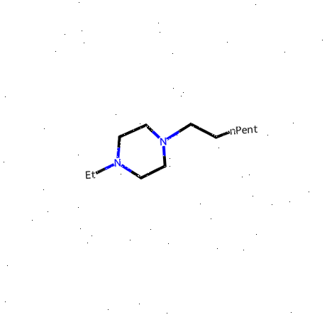 CCCCCCCN1CCN(CC)CC1